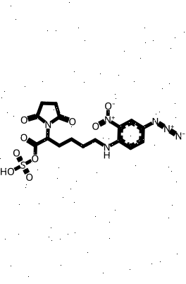 [N-]=[N+]=Nc1ccc(NCCCCC(C(=O)OS(=O)(=O)O)N2C(=O)CCC2=O)c([N+](=O)[O-])c1